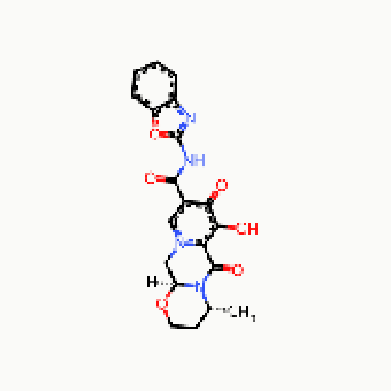 C[C@@H]1CCO[C@H]2Cn3cc(C(=O)Nc4nc5ccccc5o4)c(=O)c(O)c3C(=O)N12